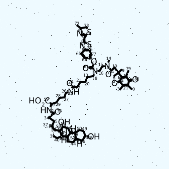 CC1=C(C)C(=O)C(C(C)(C)CC(=O)N(C)CCN(CCCCCC(=O)NCCCCC(NC(=O)CC[C@@H](C)[C@H]2CC[C@H]3[C@@H]4CC[C@@H]5C[C@H](O)CC[C@]5(C)[C@H]4C[C@H](O)[C@]23C)C(=O)O)C(=O)Oc2ccc3nc(C4=NC(C)CS4)sc3c2)=C(C)C1=O